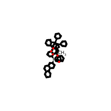 CC1(c2ccccc2)c2ccccc2-c2cccc(N(c3ccc4c(ccc5ccccc54)c3)c3ccccc3-c3ccc4c(c3)c(-c3ccccc3)c(-c3ccccc3)c3ccccc34)c21